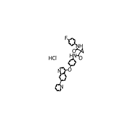 Cl.O=C(Nc1ccc(F)cc1)C1(C(=O)Nc2ccc(Oc3ccnc4cc(-c5ccccn5)ccc34)cc2)CC1